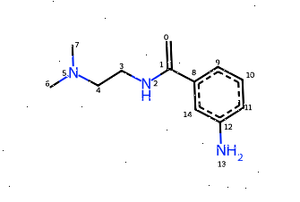 C=C(NCCN(C)C)c1cccc(N)c1